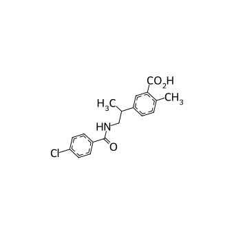 Cc1ccc(C(C)CNC(=O)c2ccc(Cl)cc2)cc1C(=O)O